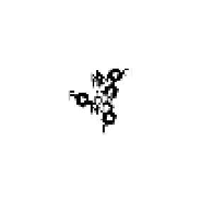 O=c1cc(-c2cc(Cl)ccc2-n2cnnn2)ccn1C(Cc1ccc(F)cc1)c1nnc(-c2ccc(F)cc2)o1